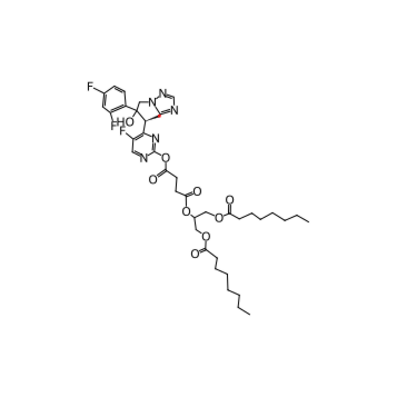 CCCCCCCC(=O)OCC(COC(=O)CCCCCCC)OC(=O)CCC(=O)Oc1ncc(F)c([C@H](C)C(O)(Cn2cncn2)c2ccc(F)cc2F)n1